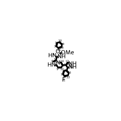 COC(NC(=N)C1=CNC2C=CC(C3=CNNC3c3ccc(F)cc3)=CN12)Oc1ccccc1